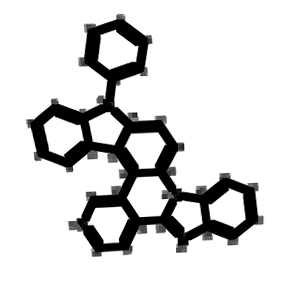 c1ccc(-n2c3ccccc3c3c4c5cnccc5c5nc6ccccc6n5c4ccc32)cc1